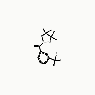 C=C(B1OC(C)(C)C(C)(C)O1)c1cccc(C(F)(F)F)c1